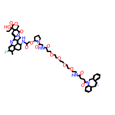 CC[C@@]1(O)C(=O)OCc2c1cc1n(c2=O)Cc2c-1nc1cc(F)c(C)c3c1c2[C@@H](NC(=O)COC1CCCN1C(=O)CNC(=O)CCOCCOCCOCCOCCNC(=O)CCC(=O)N1Cc2ccccc2/C=C\c2ccccc21)CC3